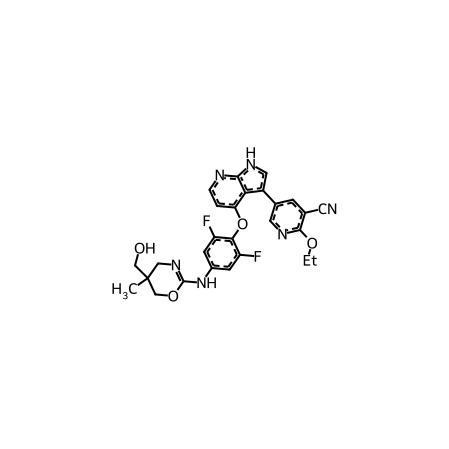 CCOc1ncc(-c2c[nH]c3nccc(Oc4c(F)cc(NC5=NCC(C)(CO)CO5)cc4F)c23)cc1C#N